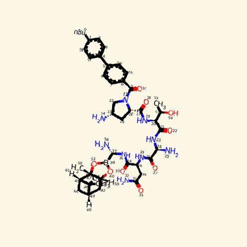 CCCCc1ccc(-c2ccc(C(=O)N3C[C@@H](N)C[C@H]3C(=O)N[C@H](C(=O)N[C@@H](N)C(=O)NC(CC(N)=O)C(=O)N[C@@H](N)B3O[C@@H]4C[C@@H]5C[C@@H](C5(C)C)[C@]4(C)O3)C(C)O)cc2)cc1